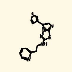 c1ccc(CCNc2nn3c(-c4ccsc4)cnc3s2)nc1